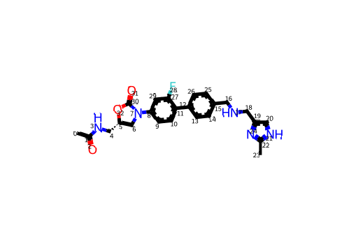 CC(=O)NC[C@H]1CN(c2ccc(-c3ccc(CNCc4c[nH]c(C)n4)cc3)c(F)c2)C(=O)O1